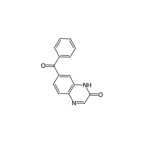 O=C(c1ccccc1)c1ccc2ncc(=O)[nH]c2c1